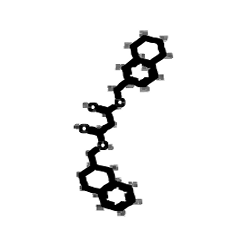 O=C(CC(=O)OCC1CCc2ccccc2C1)OCc1ccc2c(c1)CCCC2